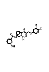 O=C(COc1ccc(Cl)c(F)c1)NC1=C2CC(NC(=O)c3cccc(O)n3)(C2)CC1O